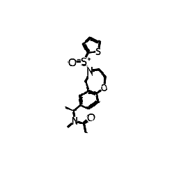 CC(=O)N(C)[C@@H](C)c1ccc2c(c1)CN([S+]([O-])c1cccs1)CCO2